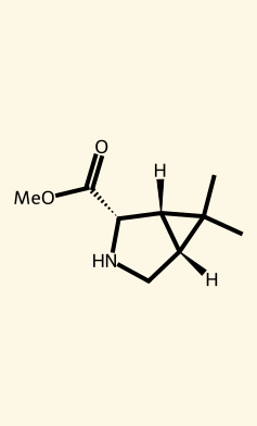 COC(=O)[C@H]1NC[C@@H]2[C@H]1C2(C)C